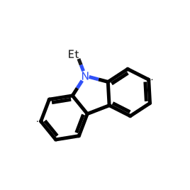 CCn1c2c[c]ccc2c2cc[c]cc21